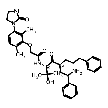 Cc1ccc(N2CCNC2=O)c(C)c1OCC(=O)N[C@H](C(=O)[C@@H](CCCc1ccccc1)CC(N)c1ccccc1)C(C)(C)O